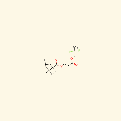 CCC(C)(C)CC(C)(C(=O)OCCC(=O)OCC(F)(F)C(F)(F)F)C(C)(C)CC